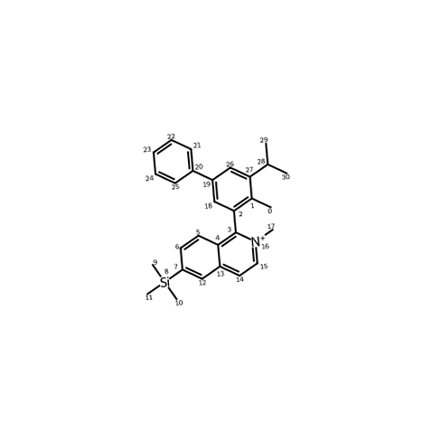 Cc1c(-c2c3ccc([Si](C)(C)C)cc3cc[n+]2C)cc(-c2ccccc2)cc1C(C)C